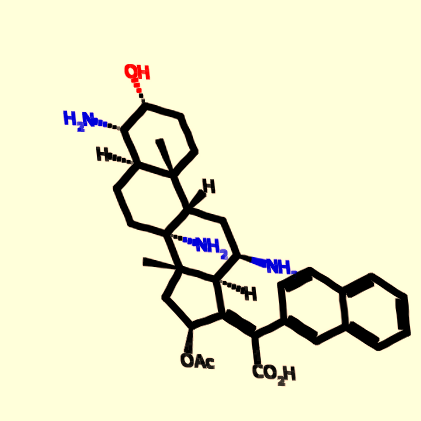 CC(=O)O[C@H]1C[C@@]2(C)[C@H](/C1=C(/C(=O)O)c1ccc3ccccc3c1)[C@H](N)C[C@H]1[C@@]3(C)CC[C@@H](O)[C@@H](N)[C@@H]3CC[C@@]12N